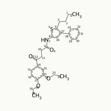 CCCCc1sc(NC(=O)CCC(=O)c2ccc(OCC)c(OCC)c2)cc1-c1ccccc1